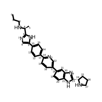 CCCN[C@@H](C)c1ncc(-c2ccc(-c3ccc(-c4ccc5[nH]c([C@@H]6CCCN6)nc5c4)cn3)cc2)[nH]1